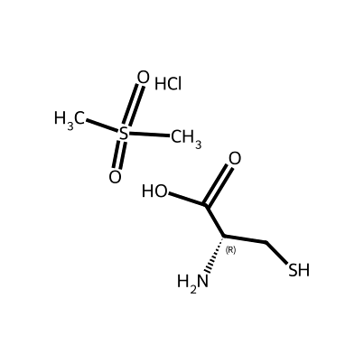 CS(C)(=O)=O.Cl.N[C@@H](CS)C(=O)O